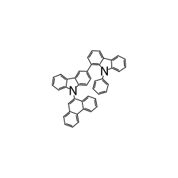 c1ccc(-n2c3ccccc3c3cccc(-c4ccc5c(c4)c4ccccc4n5-c4cc5ccccc5c5ccccc45)c32)cc1